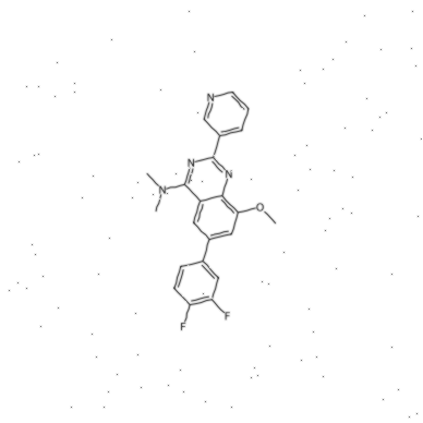 COc1cc(-c2ccc(F)c(F)c2)cc2c(N(C)C)nc(-c3cccnc3)nc12